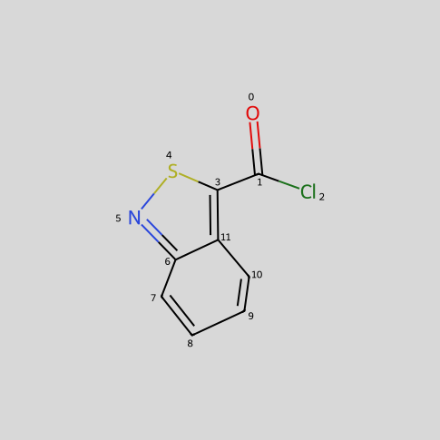 O=C(Cl)c1snc2ccccc12